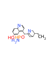 C=CC1CN2CCC1CC2[C@H](OPN)c1ccnc2ccc(O)cc12